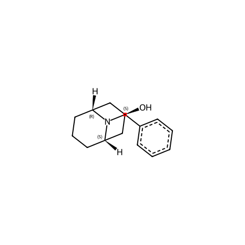 O[C@@H]1C[C@H]2CCC[C@@H](C1)N2Cc1ccccc1